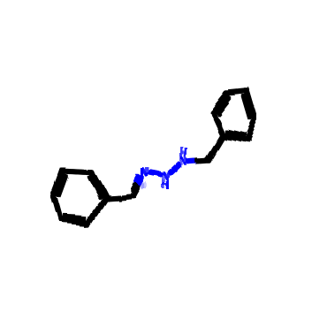 C(=N\NNCc1ccccc1)/c1ccccc1